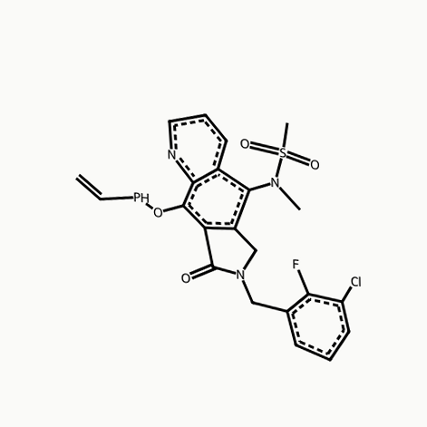 C=CPOc1c2c(c(N(C)S(C)(=O)=O)c3cccnc13)CN(Cc1cccc(Cl)c1F)C2=O